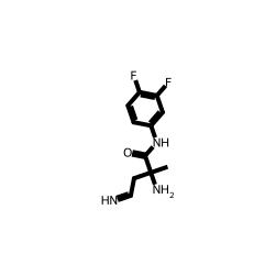 CC(N)(CC=N)C(=O)Nc1ccc(F)c(F)c1